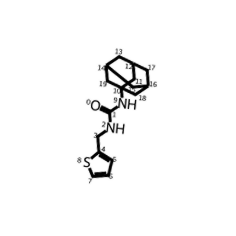 O=C(NCc1cccs1)NC12CC3CC(CC(C3)C1)C2